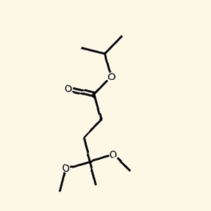 COC(C)(CCC(=O)OC(C)C)OC